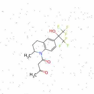 CC(=O)CC(=O)N1c2ccc(C(O)(C(F)(F)F)C(F)(F)F)cc2CCC1C